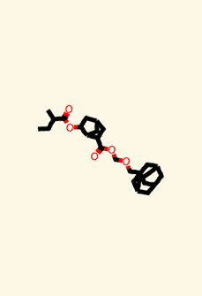 CCC(C)C(=O)OC1CC2CC(C(=O)OCOCC34CC5CC(CC(C5)C3)C4)C1C2